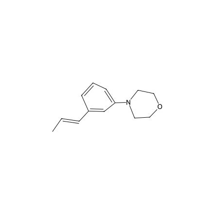 C/C=C/c1cccc(N2CCOCC2)c1